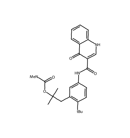 CNC(=O)OC(C)(C)Cc1cc(NC(=O)c2c[nH]c3ccccc3c2=O)ccc1C(C)(C)C